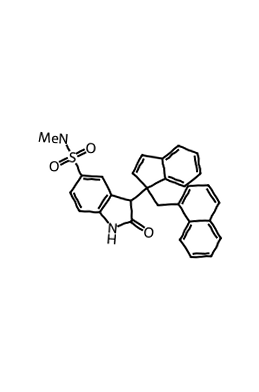 CNS(=O)(=O)c1ccc2c(c1)C(C1(Cc3cccc4ccccc34)C=Cc3ccccc31)C(=O)N2